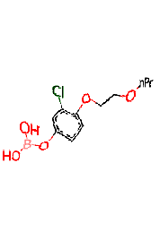 CCCOCCOc1ccc(OB(O)O)cc1Cl